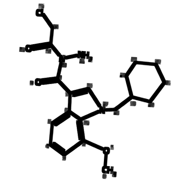 COc1cccc2c(C(=O)N(N)C(=O)CCl)cn(CC3CCCCC3)c12